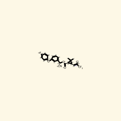 CC1(C)[C@H](C(=O)O[C@H](C#N)c2cccc(Oc3ccc(F)cc3)c2)[C@@H]1/C=C(\Cl)C(F)(F)F